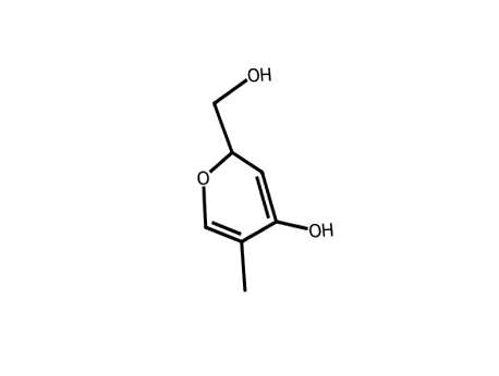 CC1=COC(CO)C=C1O